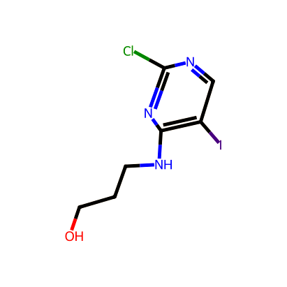 OCCCNc1nc(Cl)ncc1I